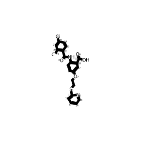 O=C(Nc1ccc(OCCSc2ccccn2)cc1C(=O)O)c1ccc(Cl)cc1Cl